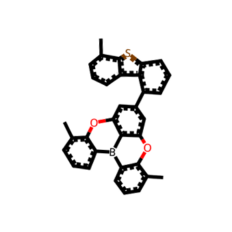 Cc1cccc2c1Oc1cc(-c3cccc4sc5c(C)cccc5c34)cc3c1B2c1cccc(C)c1O3